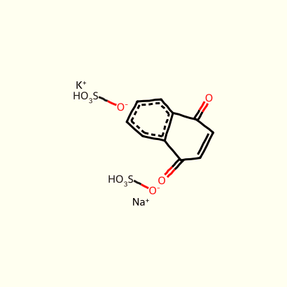 O=C1C=CC(=O)c2ccccc21.O=S(=O)([O-])O.O=S(=O)([O-])O.[K+].[Na+]